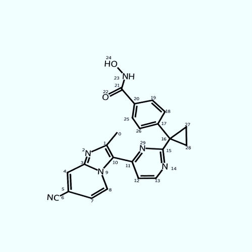 Cc1nc2cc(C#N)ccn2c1-c1ccnc(C2(c3ccc(C(=O)NO)cc3)CC2)n1